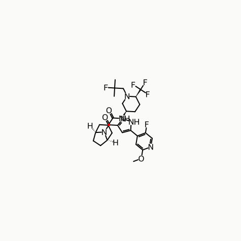 COc1cc(-c2cc(C(=O)N3[C@@H]4CC[C@H]3CC(C(=O)N[C@@H]3CC[C@H](C(F)(F)F)N(CC(C)(C)F)C3)C4)n[nH]2)c(F)cn1